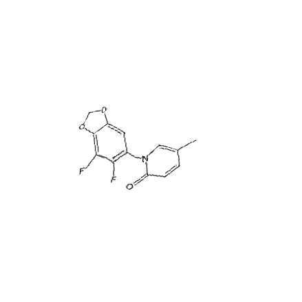 Cc1ccc(=O)n(-c2cc3c(c(F)c2F)OCO3)c1